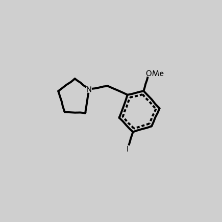 COc1ccc(I)cc1CN1CCCC1